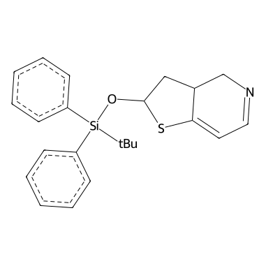 CC(C)(C)[Si](OC1CC2CN=CC=C2S1)(c1ccccc1)c1ccccc1